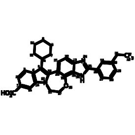 O=C(O)c1ccc2c(C3CCCCC3)c3n(c2c1)CCOc1c-3ccc2nc(-c3cccc(CC(F)(F)F)c3)[nH]c12